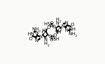 Nc1nc2c(ncn2[C@@H]2O[C@@H]3COP(=O)(S)OC4[C@@H](COP(=O)(S)OC3[C@@H]2N)O[C@@H](n2cnc3c(=O)[nH]c(N)nc32)[C@H]4N)c(=O)[nH]1